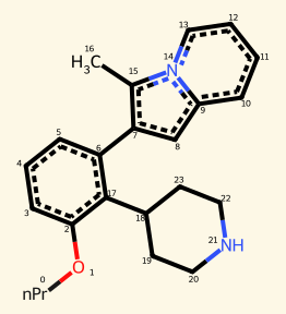 CCCOc1cccc(-c2cc3ccccn3c2C)c1C1CCNCC1